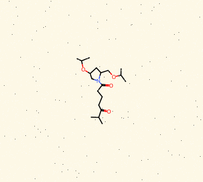 CC(C)OCC1CC(OC(C)C)CN1C(=O)CCCC(=O)C(C)C